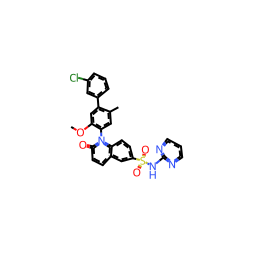 COc1cc(-c2cccc(Cl)c2)c(C)cc1-n1c(=O)ccc2cc(S(=O)(=O)Nc3ncccn3)ccc21